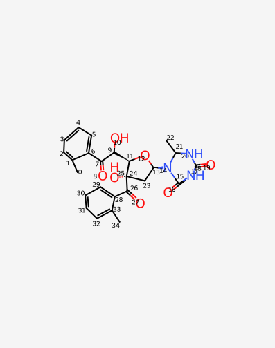 Cc1ccccc1C(=O)C(O)[C@H]1O[C@@H](N2C(=O)NC(=O)NC2C)C[C@@]1(O)C(=O)c1ccccc1C